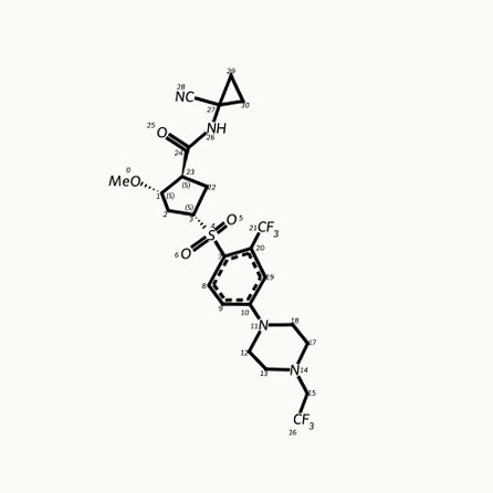 CO[C@H]1C[C@@H](S(=O)(=O)c2ccc(N3CCN(CC(F)(F)F)CC3)cc2C(F)(F)F)C[C@@H]1C(=O)NC1(C#N)CC1